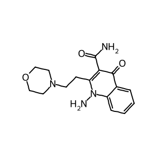 NC(=O)c1c(CCN2CCOCC2)n(N)c2ccccc2c1=O